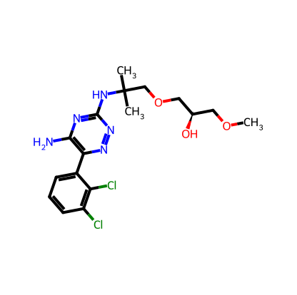 COC[C@@H](O)COCC(C)(C)Nc1nnc(-c2cccc(Cl)c2Cl)c(N)n1